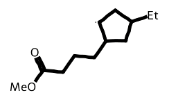 [CH2]CC1C[CH]C(CCCC(=O)OC)C1